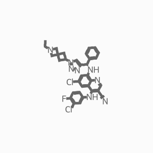 CCN1CC2(CC(n3cc([C@@H](Nc4cc(Cl)cc5c(Nc6ccc(F)c(Cl)c6)c(C#N)cnc45)c4ccccc4)nn3)C2)C1